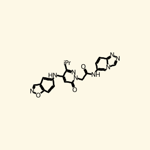 CC(C)c1nn(CC(=O)Nc2ccc3nncn3c2)c(=O)cc1Nc1ccc2oncc2c1